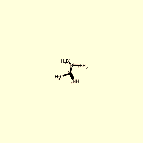 BB(B)C(C)=N